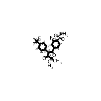 CC1(C)OC(c2ccc(S(N)(=O)=O)c(F)c2)=C(c2ccc(C(F)(F)F)cc2)C1=O